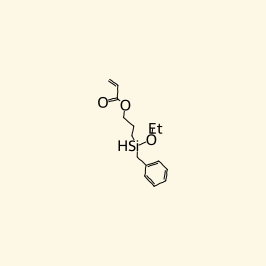 C=CC(=O)OCCC[SiH](Cc1ccccc1)OCC